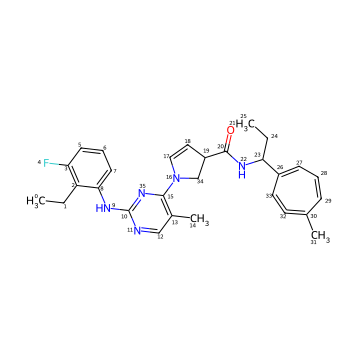 CCc1c(F)cccc1Nc1ncc(C)c(N2C=CC(C(=O)NC(CC)C3=CC=CC(C)=C=C3)C2)n1